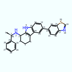 C[C@@H](NC1CCCc2c1[nH]c1ccc(-c3ccc4ncsc4c3)cc21)c1ccccc1